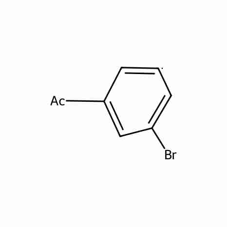 CC(=O)c1c[c]cc(Br)c1